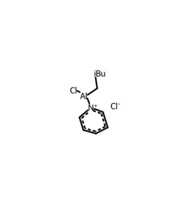 CCC(C)[CH2][Al]([Cl])[n+]1ccccc1.[Cl-]